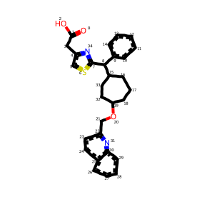 O=C(O)Cc1csc(C(c2ccccc2)C2CCCC(OCc3ccc4ccccc4n3)CC2)n1